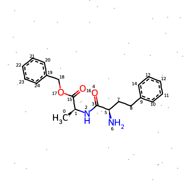 C[C@H](NC(=O)[C@H](N)CCc1ccccc1)C(=O)OCc1ccccc1